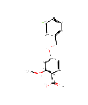 COc1cc(OCc2cccc(F)c2)ccc1C(=O)O